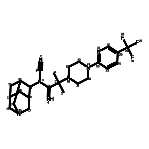 CC(C)(C(=N)N(C#N)C1C2CC3CC1CN(C3)C2)N1CCN(c2ccc(C(F)(F)F)cn2)CC1